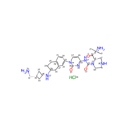 CC(C)(N)C(=O)C1CNCCN1C(=O)Nc1ccn(-c2ccc3c(c2)CC(N[C@H]2C[C@@H](CN)C2)CC3)c(=O)n1.Cl